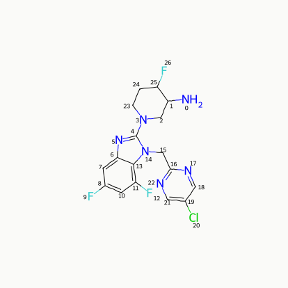 NC1CN(c2nc3cc(F)cc(F)c3n2Cc2ncc(Cl)cn2)CCC1F